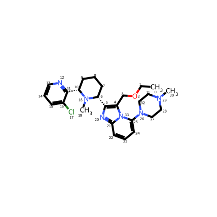 CCOCc1c([C@H]2CCC[C@@H](c3ncccc3Cl)N2C)nc2cccc(N3CCN(C)CC3)n12